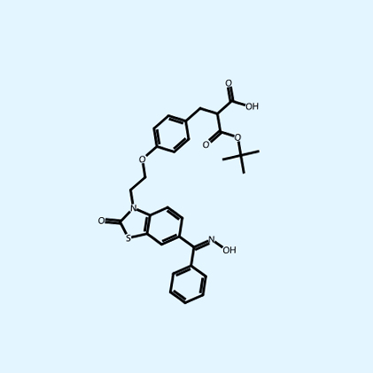 CC(C)(C)OC(=O)C(Cc1ccc(OCCn2c(=O)sc3cc(C(=NO)c4ccccc4)ccc32)cc1)C(=O)O